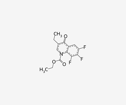 CCOC(=O)n1cc(CC)c(=O)c2cc(F)c(F)c(F)c21